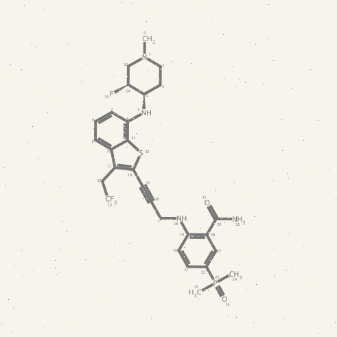 CN1CC[C@@H](Nc2cccc3c(CC(F)(F)F)c(C#CCNc4ccc(P(C)(C)=O)cc4C(N)=O)sc23)[C@@H](F)C1